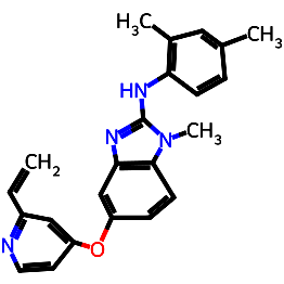 C=Cc1cc(Oc2ccc3c(c2)nc(Nc2ccc(C)cc2C)n3C)ccn1